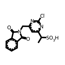 CC(c1cc(CN2C(=O)c3ccccc3C2=O)nc(Cl)n1)S(=O)(=O)O